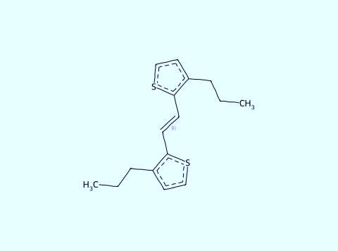 CCCc1ccsc1/C=C/c1sccc1CCC